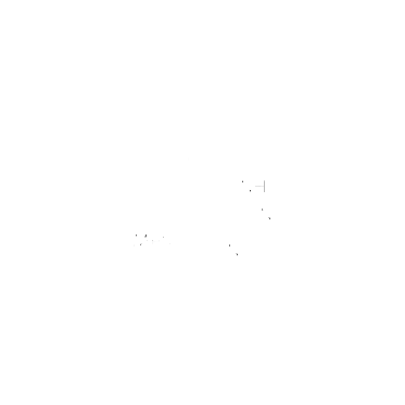 CSc1nn[nH]c1F